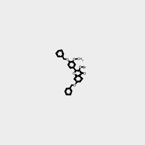 COc1cc(-c2oc3cc(OCc4ccccc4)ccc3c(=O)c2OBr)ccc1OCc1ccccc1